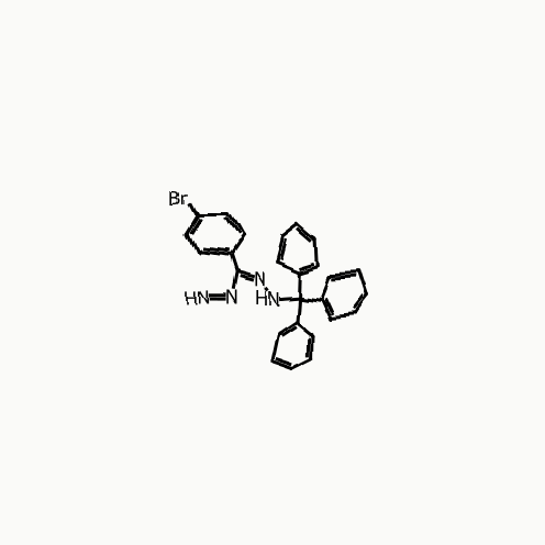 N=N/C(=N\NC(c1ccccc1)(c1ccccc1)c1ccccc1)c1ccc(Br)cc1